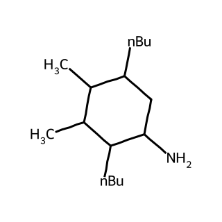 CCCCC1CC(N)C(CCCC)C(C)C1C